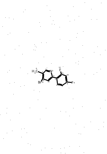 Cc1cnc(-c2ccc(F)cc2F)cc1Br